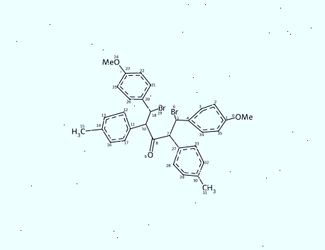 COc1ccc(C(Br)C(C(=O)C(c2ccc(C)cc2)C(Br)c2ccc(OC)cc2)c2ccc(C)cc2)cc1